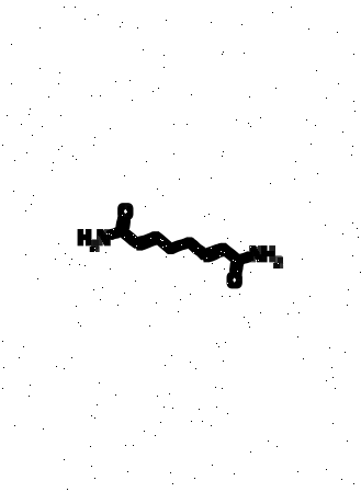 NC(=O)C=CCCC=CC(N)=O